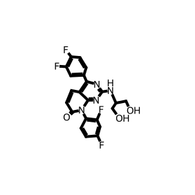 O=c1ccc2c(-c3ccc(F)c(F)c3)nc(NC(CO)CO)nc2n1-c1ccc(F)cc1F